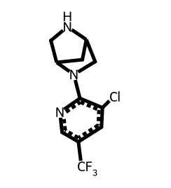 FC(F)(F)c1cnc(N2CC3CC2CN3)c(Cl)c1